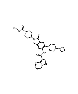 CC(C)(C)OC(=O)N1CCC(N2Cc3cc(NC(=O)c4cnn5cccnc45)c(N4CCC(N5CCC5)CC4)cc3C2=O)CC1